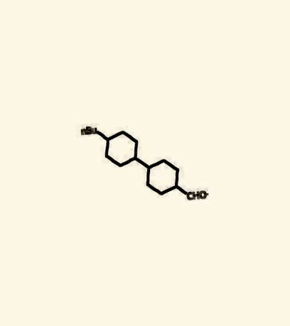 CCCCC1CCC(C2CCC([C]=O)CC2)CC1